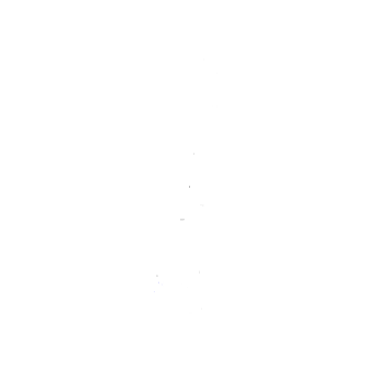 CCCCCCCCCCCOCCC(C)N